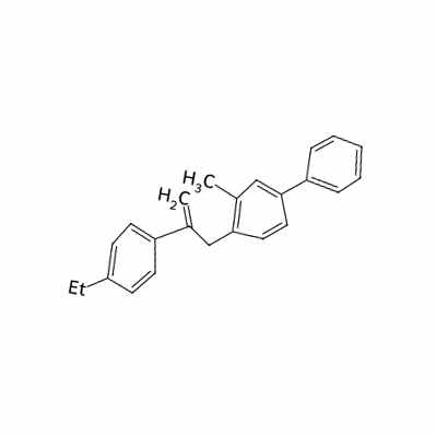 C=C(Cc1ccc(-c2ccccc2)cc1C)c1ccc(CC)cc1